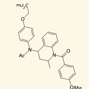 COc1ccc(C(=O)N2c3ccccc3C(N(C(C)=O)c3ccc(OCC(=O)O)cc3)CC2C)cc1